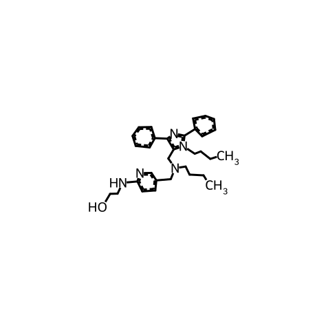 CCCCN(Cc1ccc(NCCO)nc1)Cc1c(-c2ccccc2)nc(-c2ccccc2)n1CCCC